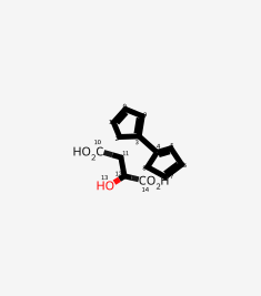 C1=CCC(C2=CC=CC2)=C1.O=C(O)CC(O)C(=O)O